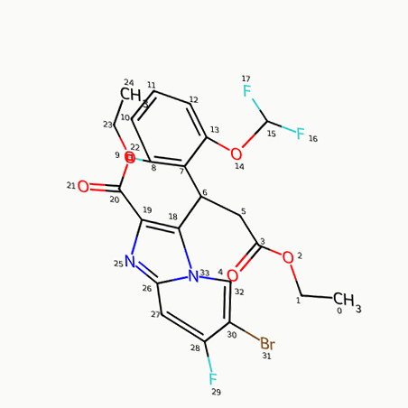 CCOC(=O)CC(c1c(F)cccc1OC(F)F)c1c(C(=O)OCC)nc2cc(F)c(Br)cn12